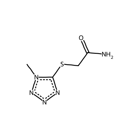 Cn1nnnc1SCC(N)=O